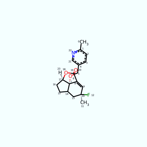 Cc1ccc(CO[C@]23C4=C[C@@](C)(F)CC2CC[C@H]3OC4=O)cn1